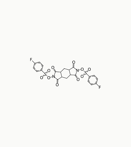 O=C1C2CC3C(=O)N(OS(=O)(=O)c4ccc(F)cc4)C(=O)C3CC2C(=O)N1OS(=O)(=O)c1ccc(F)cc1